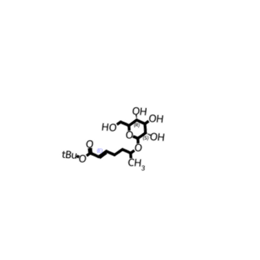 CC(CC/C=C/C(=O)OC(C)(C)C)OC1OC(CO)[C@H](O)C(O)[C@@H]1O